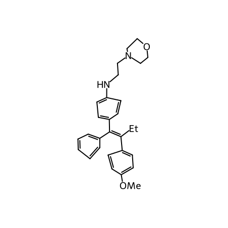 CCC(=C(c1ccccc1)c1ccc(NCCN2CCOCC2)cc1)c1ccc(OC)cc1